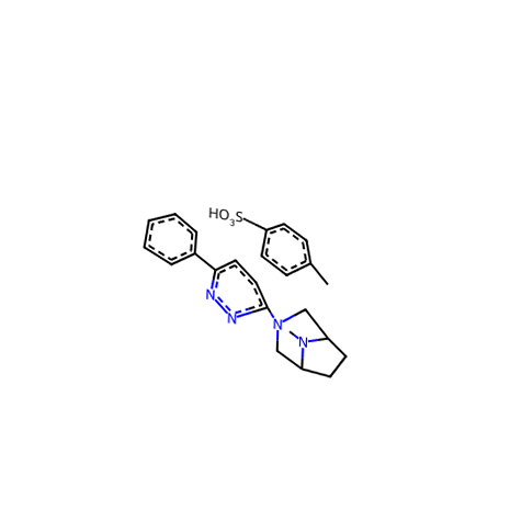 CN1C2CCC1CN(c1ccc(-c3ccccc3)nn1)C2.Cc1ccc(S(=O)(=O)O)cc1